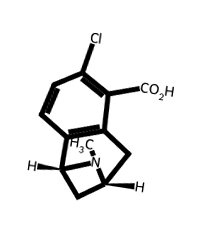 CN1[C@@H]2Cc3c(ccc(Cl)c3C(=O)O)[C@H]1C2